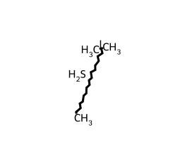 CCCCCCCCCCCCCCCCCC(C)(C)I.S